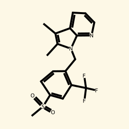 Cc1c(C)n(Cc2ccc(S(C)(=O)=O)cc2C(F)(F)F)c2ncccc12